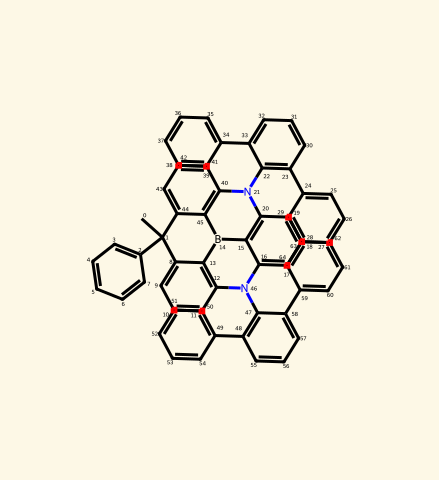 CC1(c2ccccc2)c2cccc3c2B2c4c(cccc4N(c4c(-c5ccccc5)cccc4-c4ccccc4)c4cccc1c42)N3c1c(-c2ccccc2)cccc1-c1ccccc1